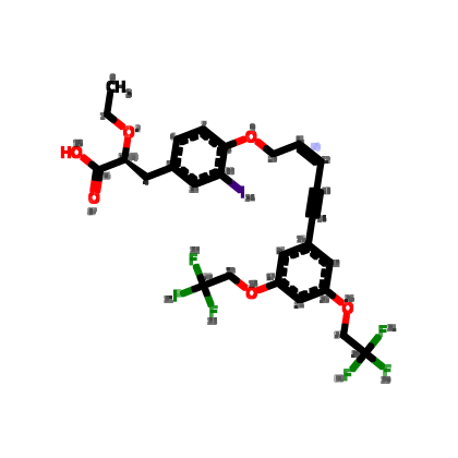 CCO[C@@H](Cc1ccc(OC/C=C\C#Cc2cc(OCC(F)(F)F)cc(OCC(F)(F)F)c2)c(I)c1)C(=O)O